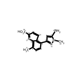 Cc1ccc(-c2cc(N)n(C)n2)c2ccc(C(=O)O)nc12